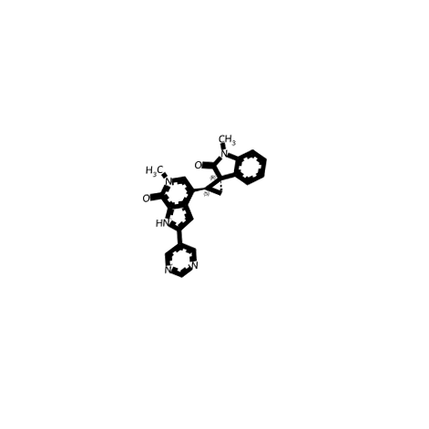 CN1C(=O)[C@@]2(C[C@H]2c2cn(C)c(=O)c3[nH]c(-c4cncnc4)cc23)c2ccccc21